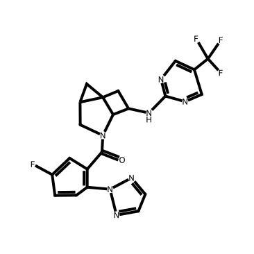 O=C(c1cc(F)ccc1-n1nccn1)N1CC2CC23CC(Nc2ncc(C(F)(F)F)cn2)C13